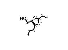 CCCc1nc(CC)sc1CO